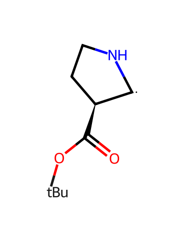 CC(C)(C)OC(=O)[C@@H]1[CH]NCC1